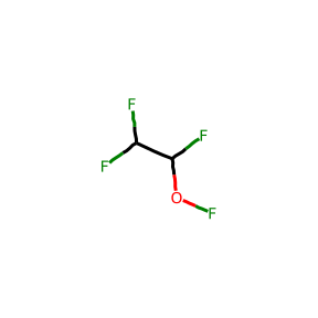 FOC(F)C(F)F